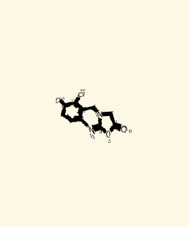 O=C1CN2Cc3c(ccc(Cl)c3Cl)N=C2O1